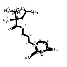 CC(C)CC(C)(C(=O)OCCCn1ccc(=O)[nH]c1=O)C(C)C